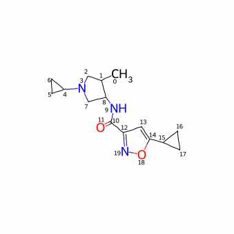 CC1CN(C2CC2)CC1NC(=O)c1cc(C2CC2)on1